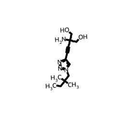 CCC(C)(C)Cn1cc(C#CC(N)(CO)CO)nn1